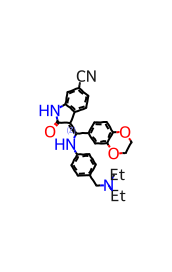 CCN(CC)Cc1ccc(N/C(=C2\C(=O)Nc3cc(C#N)ccc32)c2ccc3c(c2)OCCO3)cc1